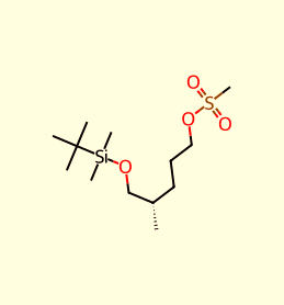 C[C@@H](CCCOS(C)(=O)=O)CO[Si](C)(C)C(C)(C)C